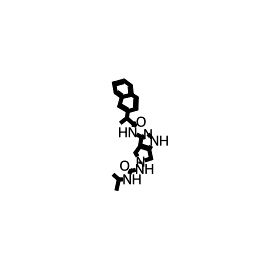 CC(C)NC(=O)NN1Cc2[nH]nc(NC(=O)C(C)c3ccc4ccccc4c3)c2C1